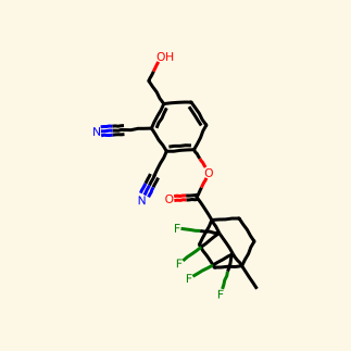 CC12CCC(C(=O)Oc3ccc(CO)c(C#N)c3C#N)(CC1)C(F)(F)C2(F)F